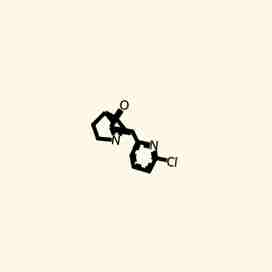 O=C1C(=Cc2cccc(Cl)n2)N2CCC1CC2